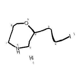 I.ICCC1CNCCO1